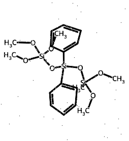 CO[Si](C)(OC)O[Si](O[Si](OC)(OC)OC)(c1ccccc1)c1ccccc1